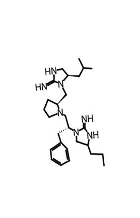 CCCC1CN([C@H](Cc2ccccc2)CN2CCC[C@H]2CN2C(=N)NC[C@H]2CC(C)C)C(=N)N1